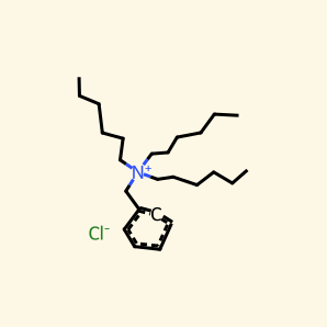 CCCCCC[N+](CCCCCC)(CCCCCC)Cc1ccccc1.[Cl-]